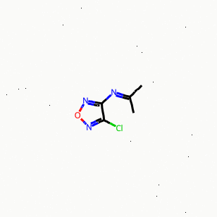 CC(C)=Nc1nonc1Cl